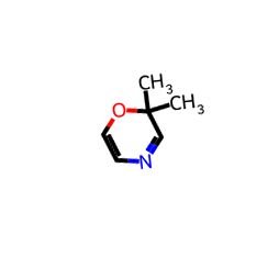 CC1(C)C=NC=CO1